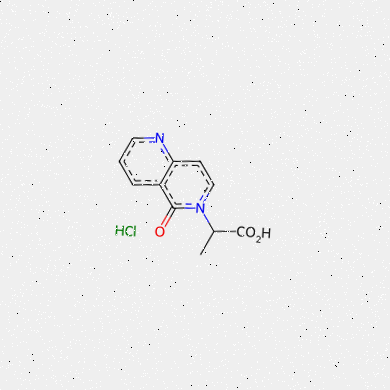 CC(C(=O)O)n1ccc2ncccc2c1=O.Cl